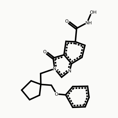 O=C(NO)c1ccc2ncn(CC3(COc4ccccc4)CCCC3)c(=O)c2c1